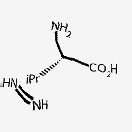 CC(C)[C@H](N)C(=O)O.N=N